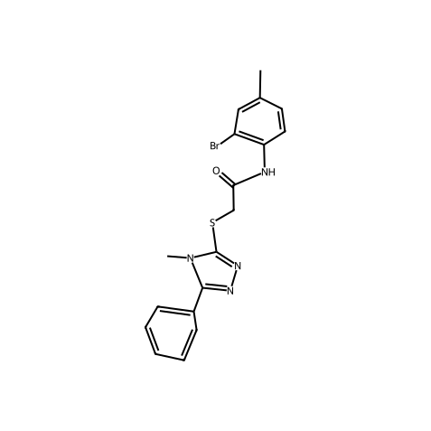 Cc1ccc(NC(=O)CSc2nnc(-c3ccccc3)n2C)c(Br)c1